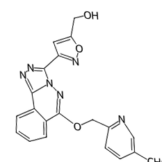 O=Cc1ccc(COc2nn3c(-c4cc(CO)on4)nnc3c3ccccc23)nc1